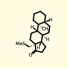 CSC[C@]12CC[C@H]3[C@@H](CC[C@H]4CCCC[C@@]43C)[C@@H]1CCC2=O